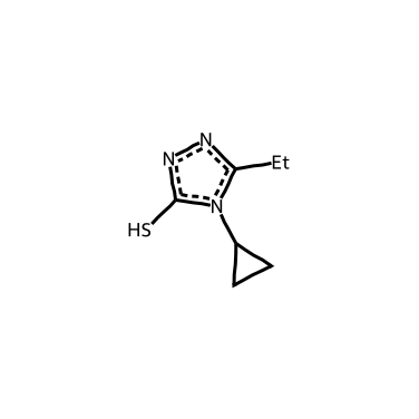 CCc1nnc(S)n1C1CC1